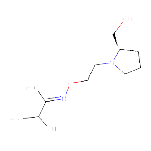 C/C(=N\OCCN1CCC[C@@H]1CO)C(C)C